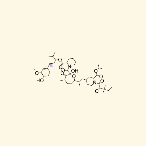 CCC(C)(C)C(=O)C(=O)N1CCC(CC(C)C2CCC(C)C(=O)C(O)(C(=O)N3CCCCC3C(=O)OC(/C=C/C3=CC(OC)C(O)CC3)C(C)C)O2)CC1C(=O)OC(C)C